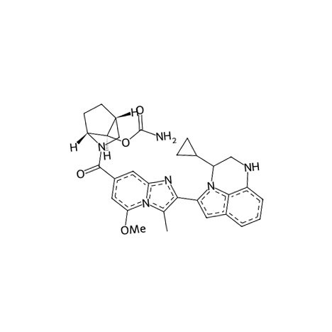 COc1cc(C(=O)N2C[C@H]3CC[C@@H]2[C@@H]3OC(N)=O)cc2nc(-c3cc4cccc5c4n3C(C3CC3)CN5)c(C)n12